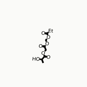 CCC(=O)OCOC(=O)COC(=O)C(C)O